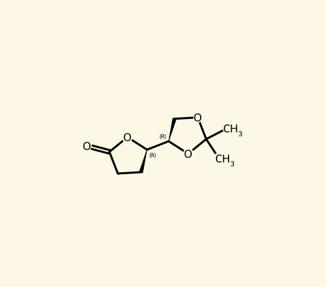 CC1(C)OC[C@H]([C@H]2CCC(=O)O2)O1